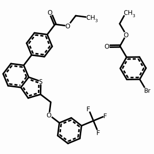 CCOC(=O)c1ccc(-c2cccc3cc(COc4cccc(C(F)(F)F)c4)sc23)cc1.CCOC(=O)c1ccc(Br)cc1